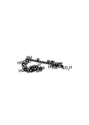 C[C@H]1OC(O[C@H]2[C@@H](O)CC(O[C@H]3[C@@H](O)C[C@H](O[C@@H]4CC[C@@]5(C)[C@H](CCC6[C@@H]5C[C@@H](O)[C@]5(C)[C@@H](C7=CC(=O)OC7)CC[C@]65O)C4)O[C@@H]3C)O[C@@H]2C)C[C@H](O)[C@@H]1OCCCCCC(=O)NCCCCCCC(=O)Nc1ncnc2c1ncn2[C@@H]1O[C@H](CN(C)CCCC(=O)O)[C@@H](O)[C@H]1O